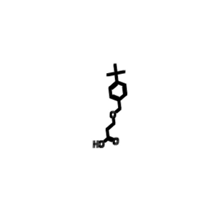 CC(C)(C)c1ccc(COCCC(=O)O)cc1